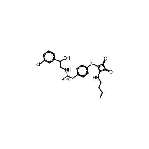 CCCCNc1c(Nc2ccc(C[C@@H](C)NCC(O)c3cccc(Cl)c3)cc2)c(=O)c1=O